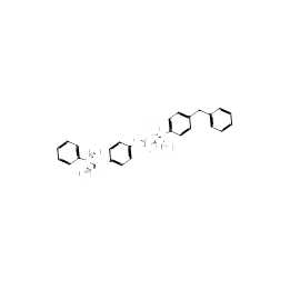 O=S(=O)(OOc1ccc(OS(=O)(=O)c2ccccc2)cc1)c1ccc(Cc2ccccc2)cc1